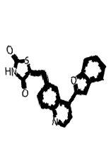 O=C1NC(=O)/C(=C\c2ccc3nccc(-c4cc5ccccc5o4)c3c2)S1